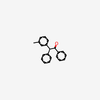 Cc1cccc(C(C(=O)c2ccccc2)c2ccccc2)c1